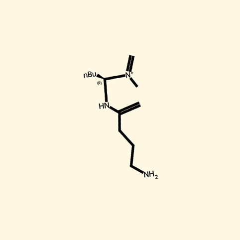 C=C(CCCN)N[C@@H](CCCC)[N+](=C)C